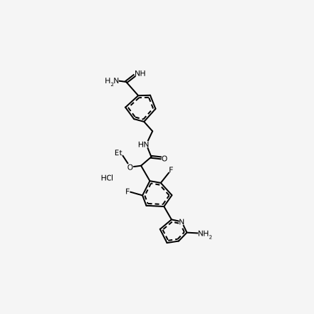 CCOC(C(=O)NCc1ccc(C(=N)N)cc1)c1c(F)cc(-c2cccc(N)n2)cc1F.Cl